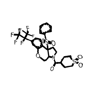 O=C(C1CCS(=O)(=O)CC1)N1CCC2(S(=O)(=O)c3ccccc3)c3ccc(C(F)(C(F)(F)F)C(F)(F)F)cc3OCC12